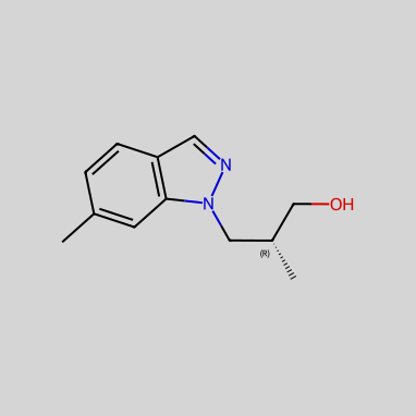 Cc1ccc2cnn(C[C@@H](C)CO)c2c1